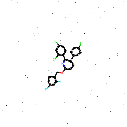 Fc1ccc(COc2ccc(-c3ccc(Cl)cc3)c(-c3ccc(Cl)cc3Cl)n2)c(F)c1